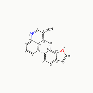 N#Cc1cnc2ccccc2c1Cc1cccc2ccoc12